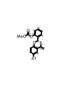 CCc1ccc(OCc2ccccc2OC(=O)OC)c(C(F)F)c1